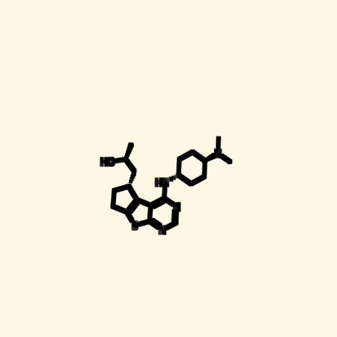 C[C@H](O)C[C@H]1CCc2sc3ncnc(N[C@H]4CC[C@H](N(C)C)CC4)c3c21